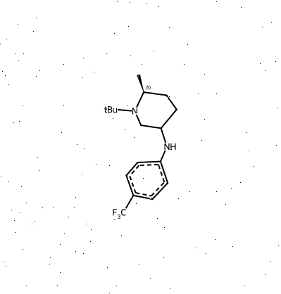 C[C@H]1CCC(Nc2ccc(C(F)(F)F)cc2)CN1C(C)(C)C